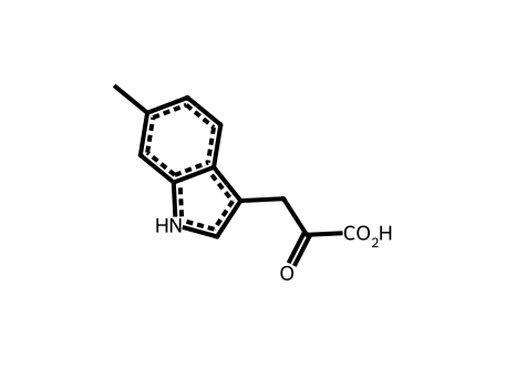 Cc1ccc2c(CC(=O)C(=O)O)c[nH]c2c1